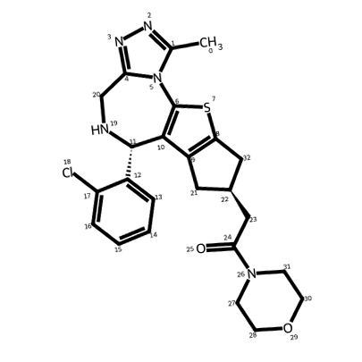 Cc1nnc2n1-c1sc3c(c1[C@H](c1ccccc1Cl)NC2)C[C@H](CC(=O)N1CCOCC1)C3